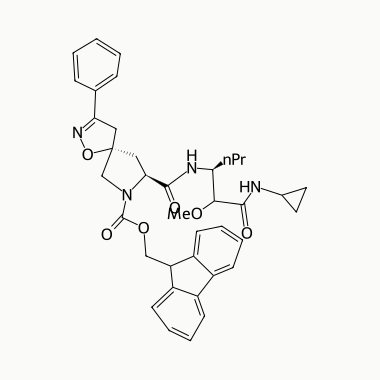 CCC[C@H](NC(=O)[C@@H]1C[C@]2(CC(c3ccccc3)=NO2)CN1C(=O)OCC1c2ccccc2-c2ccccc21)C(OC)C(=O)NC1CC1